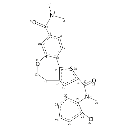 CN(C)C(=O)c1ccc2c(c1)OCCc1cc(C(=O)N(C)c3ccccc3Cl)sc1-2